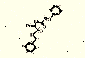 CC(C)C(NC(=O)COc1ccccc1)C(=O)NCc1ccccc1